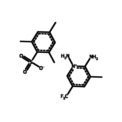 Cc1cc(C(F)(F)F)c[n+](N)c1N.Cc1cc(C)c(S(=O)(=O)[O-])c(C)c1